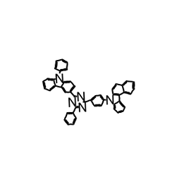 c1ccc(-c2nc(-c3ccc(-n4c5ccccc5c5c6ccccc6ccc54)cc3)nc(-c3ccc4c(c3)c3ccccc3n4-c3ccccc3)n2)cc1